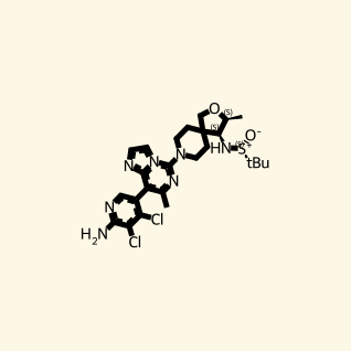 Cc1nc(N2CCC3(CC2)CO[C@@H](C)[C@H]3N[S@+]([O-])C(C)(C)C)n2ccnc2c1-c1cnc(N)c(Cl)c1Cl